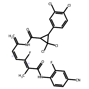 C=C(/C=C\C(F)=C(/C)C(=O)Nc1ccc(C#N)cc1F)NC(=O)C1C(c2ccc(Cl)c(Cl)c2)C1(Cl)Cl